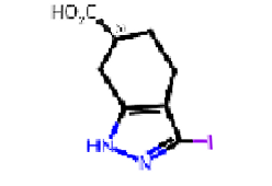 O=C(O)[C@H]1CCc2c(I)n[nH]c2C1